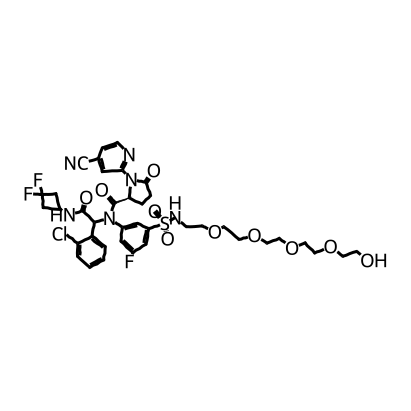 N#Cc1ccnc(N2C(=O)CC[C@H]2C(=O)N(c2cc(F)cc(S(=O)(=O)NCCOCCOCCOCCOCCO)c2)C(C(=O)NC2CC(F)(F)C2)c2ccccc2Cl)c1